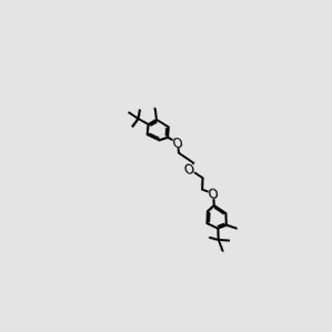 Cc1cc(OCCOCCOc2ccc(C(C)(C)C)c(C)c2)ccc1C(C)(C)C